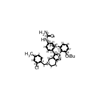 Cc1ccc(CN2CCc3nn(-c4c(C)cccc4OCC(C)C)c(-c4ccc(NC(N)=O)cc4)c3C2)c(Cl)c1